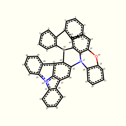 c1ccc(-c2ccccc2B2c3cccc4c3N(c3ccccc3O4)c3cc4c5ccccc5n5c6ccccc6c(c32)c45)cc1